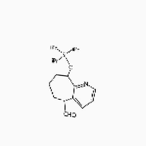 CC(C)[Si](OC1CCCC(C=O)c2cccnc21)(C(C)C)C(C)C